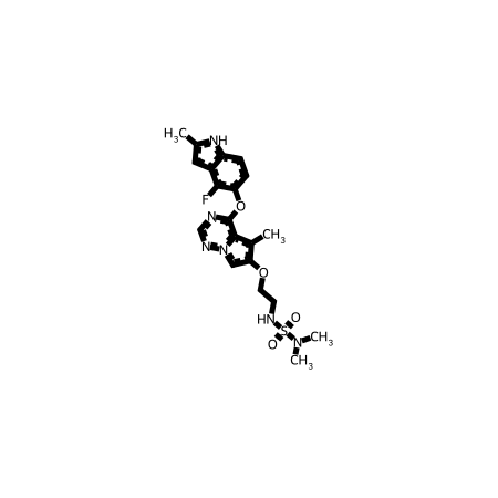 Cc1cc2c(F)c(Oc3ncnn4cc(OCCNS(=O)(=O)N(C)C)c(C)c34)ccc2[nH]1